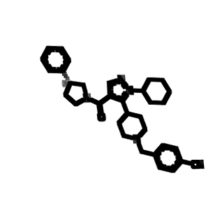 N#Cc1ccc(CN2CCC(c3c(C(=O)N4CC[C@H](c5ccccc5)C4)cnn3C3CCCCC3)CC2)cc1